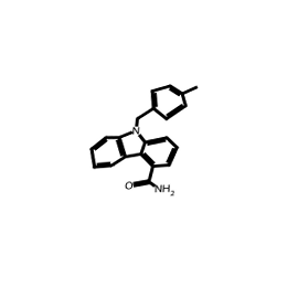 Cc1ccc(Cn2c3ccc[c]c3c3c(C(N)=O)cccc32)cc1